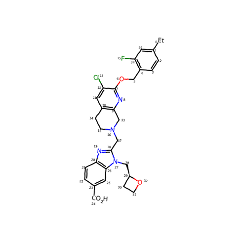 CCc1ccc(COc2nc3c(cc2Cl)CCN(Cc2nc4ccc(C(=O)O)cc4n2C[C@@H]2CCO2)C3)c(F)c1